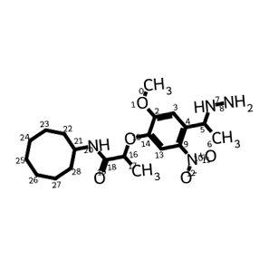 COc1cc(C(C)NN)c([N+](=O)[O-])cc1OC(C)C(=O)NC1CCCCCCC1